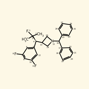 CC(C)(F)[C@H](c1cc(F)cc(F)c1)C1CN(C(c2ccccc2)c2ccccc2)C1